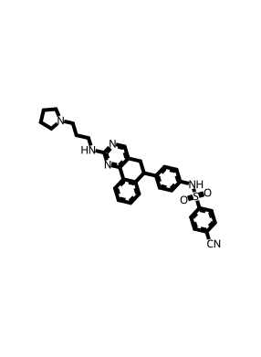 N#Cc1ccc(S(=O)(=O)Nc2ccc(C3Cc4cnc(NCCCN5CCCC5)nc4-c4ccccc43)cc2)cc1